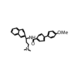 COc1ccc(-c2ccc(C(=O)NC(CCN(C)C)c3ccc4ccccc4c3)cc2)cc1